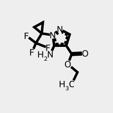 CCOC(=O)c1cnn(C2(C(F)(F)F)CC2)c1N